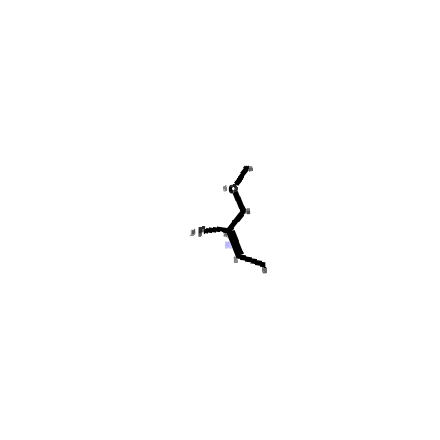 C/C=C(/F)COC